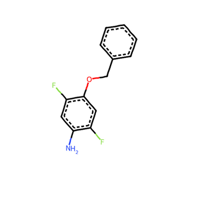 Nc1cc(F)c(OCc2ccccc2)cc1F